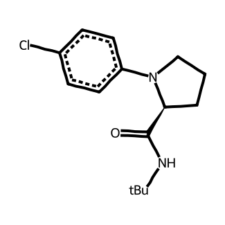 CC(C)(C)NC(=O)[C@@H]1CCCN1c1ccc(Cl)cc1